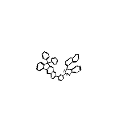 c1ccc(C2(c3ccccc3)c3ccccc3-c3cc4ccc(-c5cccc(-c6nc(-c7cccc8ccccc78)c7ccccc7n6)c5)cc4cc32)cc1